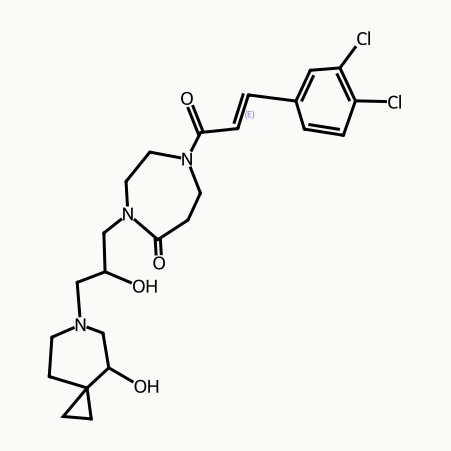 O=C(/C=C/c1ccc(Cl)c(Cl)c1)N1CCC(=O)N(CC(O)CN2CCC3(CC3)C(O)C2)CC1